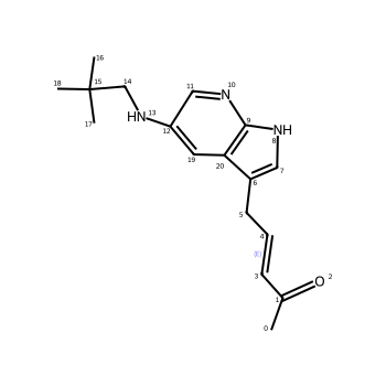 CC(=O)/C=C/Cc1c[nH]c2ncc(NCC(C)(C)C)cc12